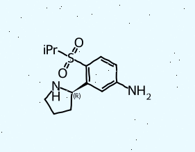 CC(C)S(=O)(=O)c1ccc(N)cc1[C@H]1CCCN1